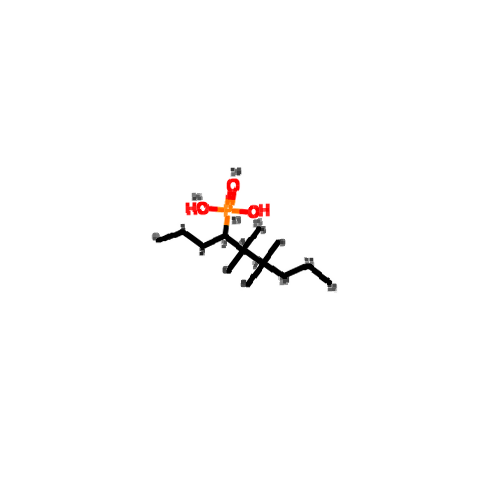 CCCC(C(C)(C)C(C)(C)CCC)P(=O)(O)O